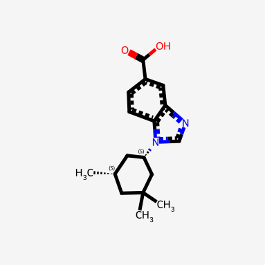 C[C@@H]1C[C@H](n2cnc3cc(C(=O)O)ccc32)CC(C)(C)C1